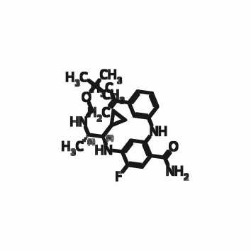 C=C(C)c1cccc(Nc2cc(N[C@H](C3CC3)[C@H](C)NCOC(C)(C)C)c(F)cc2C(N)=O)c1